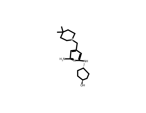 CC1(C)CCN(Cc2cc(N)nc(N[C@H]3CC[C@H](O)CC3)c2)CC1